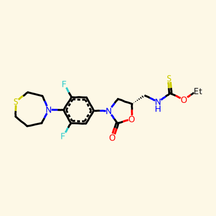 CCOC(=S)NC[C@H]1CN(c2cc(F)c(N3CCCSCC3)c(F)c2)C(=O)O1